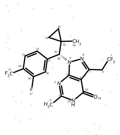 Cc1nc2c(c(CC(F)(F)F)nn2[C@H](c2ccc(C(F)(F)F)c(F)c2)C2(C)CC2)c(=O)[nH]1